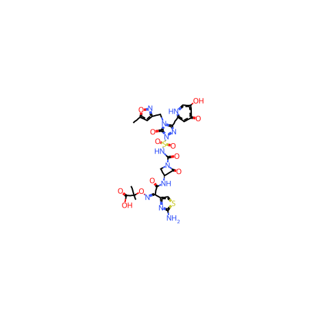 Cc1cc(Cn2c(-c3cc(=O)c(O)c[nH]3)nn(S(=O)(=O)NC(=O)N3C[C@H](NC(=O)/C(=N\OC(C)(C)C(=O)O)c4csc(N)n4)C3=O)c2=O)no1